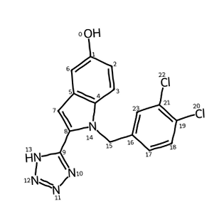 Oc1ccc2c(c1)cc(-c1nnn[nH]1)n2Cc1ccc(Cl)c(Cl)c1